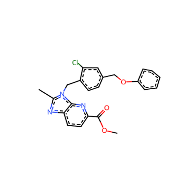 COC(=O)c1ccc2nc(C)n(Cc3ccc(COc4ccccc4)cc3Cl)c2n1